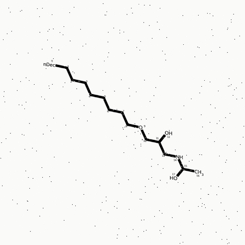 CCCCCCCCCCCCCCCCCCOCC(O)CNC(C)O